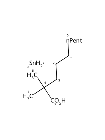 CCCCCCCCC(C)(C)C(=O)O.[SnH2]